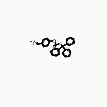 C=Cc1ccc(OC(=O)OC(c2ccccc2)(c2ccccc2)c2ccccc2)cc1